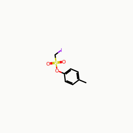 Cc1ccc(OS(=O)(=O)CI)cc1